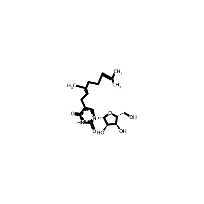 CC(C)=CCC/C(C)=C/Cc1cn([C@@H]2O[C@H](CO)[C@@H](O)[C@H]2O)c(=O)[nH]c1=O